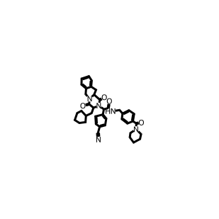 N#Cc1ccc(C(C(=O)NCc2ccc(C(=O)N3CCCCC3)cc2)N2C(=O)C3Cc4ccccc4CN3C(=O)C2CC2CCCCC2)cc1